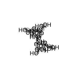 O=C(CO)Nc1c(I)c(C(=O)NCC(=O)Nc2c(I)c(C(=O)NCC(O)CO)c(I)c(C(=O)NCC(O)CO)c2I)c(I)c(C(=O)NCC(O)CO)c1I